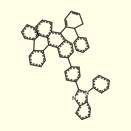 C1=CCC(c2ccccc2)C(c2c3ccccc3c(-c3ccccc3-c3ccccc3)c3cc(-c4ccc(-c5nc6ccccc6n5-c5ccccc5)cc4)ccc23)=C1